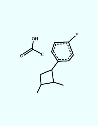 CC1CC(c2ccc(F)cc2)C1C.O=C(O)Cl